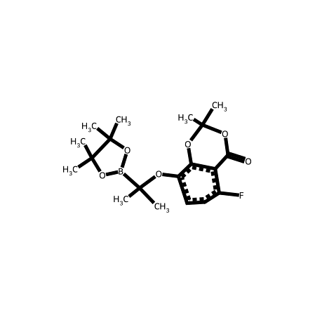 CC1(C)OC(=O)c2c(F)ccc(OC(C)(C)B3OC(C)(C)C(C)(C)O3)c2O1